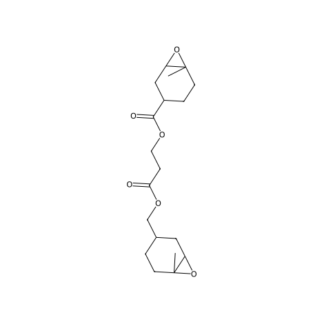 CC12CCC(COC(=O)CCOC(=O)C3CCC4(C)OC4C3)CC1O2